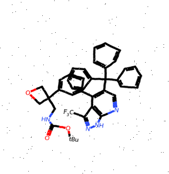 CC(C)(C)OC(=O)NCC1(c2cccc(-c3c(C(c4ccccc4)(c4ccccc4)c4ccccc4)cnc4[nH]nc(C(F)(F)F)c34)c2)COC1